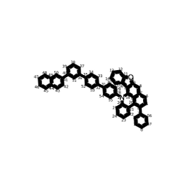 c1ccc(-c2ccc3cc4oc5ccccc5c4c4c3c2-c2ccccc2N4c2ccc(-c3ccc(-c4cccc(-c5ccc6ccccc6c5)c4)cc3)cc2)cc1